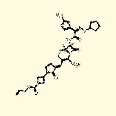 C=CCOC(=O)N1CC(N2CCC(=CC3=C(C(=O)O)N4C(=O)[C@@H](NC(=O)/C(=N\OC5CCCC5)c5csc(N)n5)[C@H]4SC3)C2=O)C1